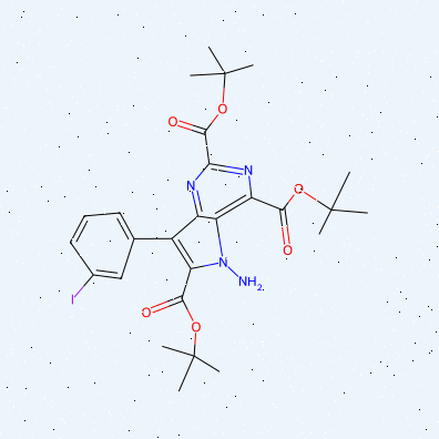 CC(C)(C)OC(=O)c1nc(C(=O)OC(C)(C)C)c2c(n1)c(-c1cccc(I)c1)c(C(=O)OC(C)(C)C)n2N